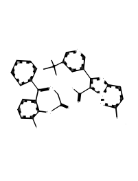 Cc1ccc2nc(-c3cncc(C(F)(F)F)c3)c(C(=O)N[C@H]3N=C(c4ccccc4)c4cccc(F)c4NC3=O)n2n1